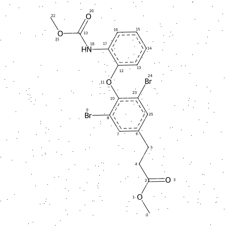 COC(=O)CCc1cc(Br)c(Oc2ccccc2NC(=O)OC)c(Br)c1